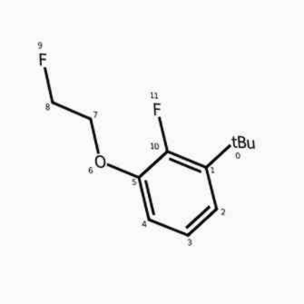 CC(C)(C)c1cccc(OCCF)c1F